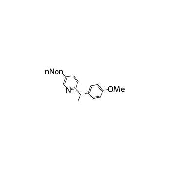 CCCCCCCCCc1ccc(C(C)c2ccc(OC)cc2)nc1